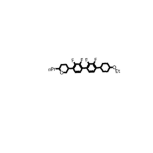 CCCC1CCC(c2ccc(-c3ccc(C4CCC(OCC)CC4)c(F)c3F)c(F)c2F)CO1